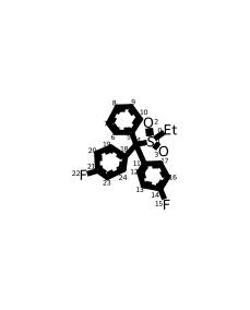 CCS(=O)(=O)C(c1ccccc1)(c1ccc(F)cc1)c1ccc(F)cc1